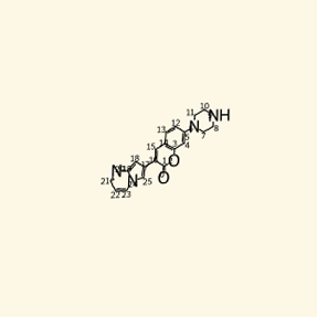 O=c1oc2cc(N3CCNCC3)ccc2cc1-c1cc2ncccn2c1